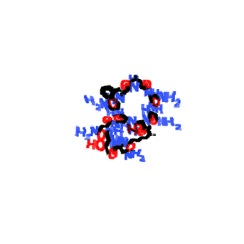 CC[C@H](C)CCCCC(=O)N[C@@H](CCN)C(=O)N[C@H](C(=O)N[C@@H](CCN)C(=O)NCC[C@@H]1NC(=O)[C@H]([C@@H](C)O)NC(=O)[C@H](CCN)NC(=O)[C@H](CCN)NC(=O)[C@H](CC(C)C)NC(=O)[C@@H](Cc2ccccc2)NC(=O)[C@H](CCN)NC1=O)[C@@H](C)O